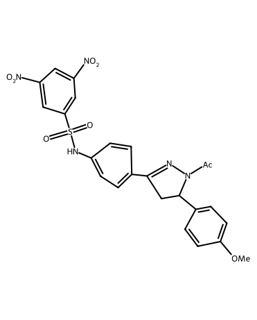 COc1ccc(C2CC(c3ccc(NS(=O)(=O)c4cc([N+](=O)[O-])cc([N+](=O)[O-])c4)cc3)=NN2C(C)=O)cc1